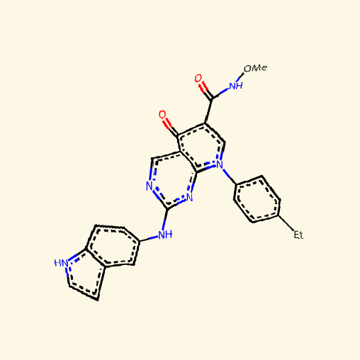 CCc1ccc(-n2cc(C(=O)NOC)c(=O)c3cnc(Nc4ccc5[nH]ccc5c4)nc32)cc1